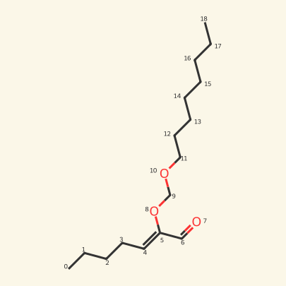 CCCCC=C(C=O)OCOCCCCCCCC